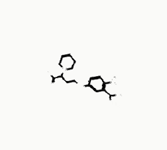 CC(O)c1cc(OCCC(C(N)=O)N2CCCCC2)ccc1[N+](=O)[O-]